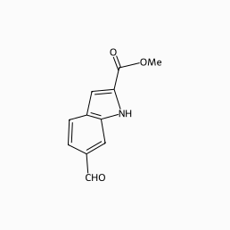 COC(=O)c1cc2ccc(C=O)cc2[nH]1